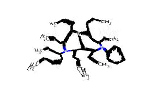 C=C/C=C\C(=C/C)N1C(C=C)=C(/C=C\C)B2C(/C=C\C)=C(C=C)N(c3ccccc3)C(C=C)=C2/C1=C\C=C